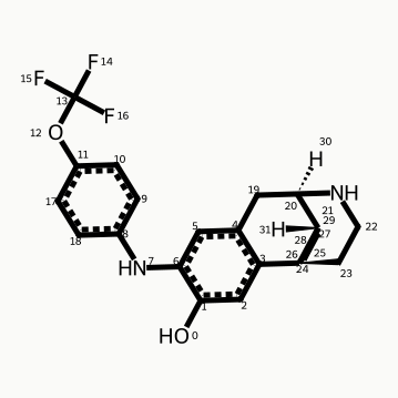 Oc1cc2c(cc1Nc1ccc(OC(F)(F)F)cc1)C[C@H]1NCC[C@@]23CCCC[C@@H]13